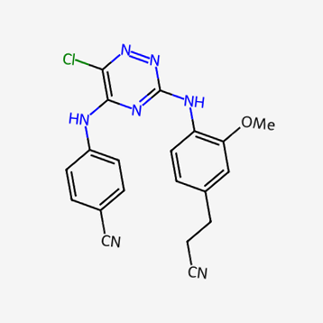 COc1cc(CCC#N)ccc1Nc1nnc(Cl)c(Nc2ccc(C#N)cc2)n1